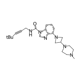 CN1CCN(C2CN(c3cccc4c3ncn4C(=O)NCC#CC(C)(C)C)C2)CC1